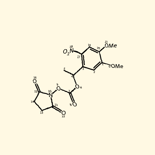 COc1cc(C(C)OC(=O)ON2C(=O)CCC2=O)c([N+](=O)[O-])cc1OC